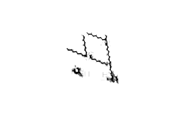 CCCCCCCCC(CC)OC(=O)CCCCCCCN(CCCCCCCC(=O)OC(CCCCCCCC)CCCCCCCC)CCCNc1ncncc1NC.CNc1cncnc1Cl